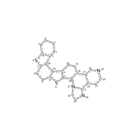 c1ccc2c(c1)sc1ccc3sc4c(ccc5c6cnccc6c6nccn6c54)c3c12